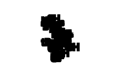 Cc1ncsc1-c1ccc(CNC(=O)[C@@H]2C[C@@H](O)CN2C(=O)[C@@H](NC(=O)[C@@H]2COCCN2)C(C)(C)C)cc1.Cl